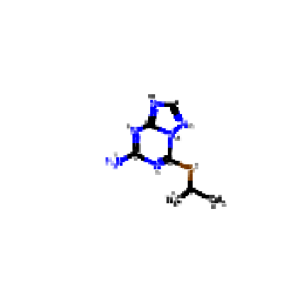 CC(C)Sc1nc(N)nc2ncnn12